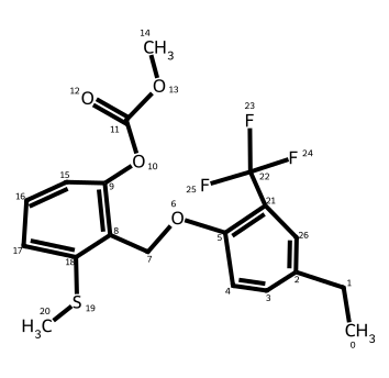 CCc1ccc(OCc2c(OC(=O)OC)cccc2SC)c(C(F)(F)F)c1